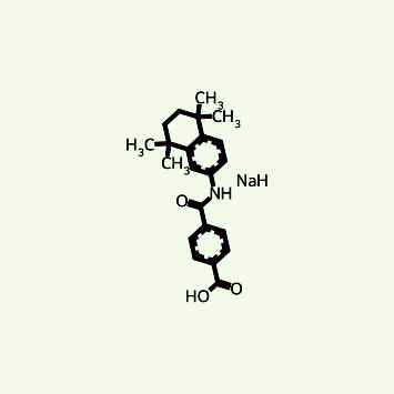 CC1(C)CCC(C)(C)c2cc(NC(=O)c3ccc(C(=O)O)cc3)ccc21.[NaH]